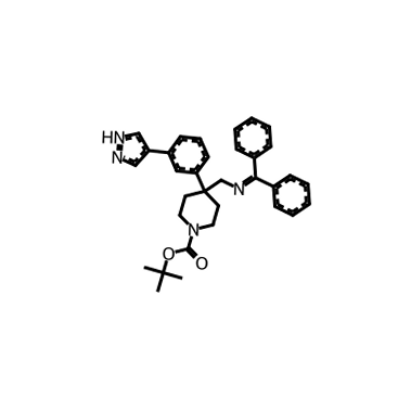 CC(C)(C)OC(=O)N1CCC(CN=C(c2ccccc2)c2ccccc2)(c2cccc(-c3cn[nH]c3)c2)CC1